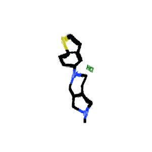 CN1CC2CN(c3ccc4sccc4c3)CC2C1.Cl